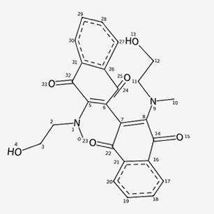 CN(CCO)C1=C(C2=C(N(C)CCO)C(=O)c3ccccc3C2=O)C(=O)c2ccccc2C1=O